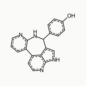 Oc1ccc(C2Nc3ncccc3-c3ccnc4[nH]cc2c34)cc1